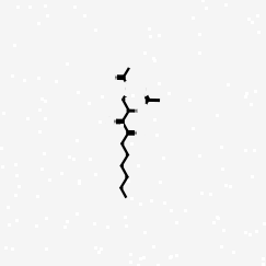 CCCCCCC(=O)C(=O)C(COC(C)=O)OC(C)=O